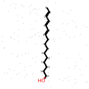 CC=C/C=C/C=C/CCCCCCCCCO